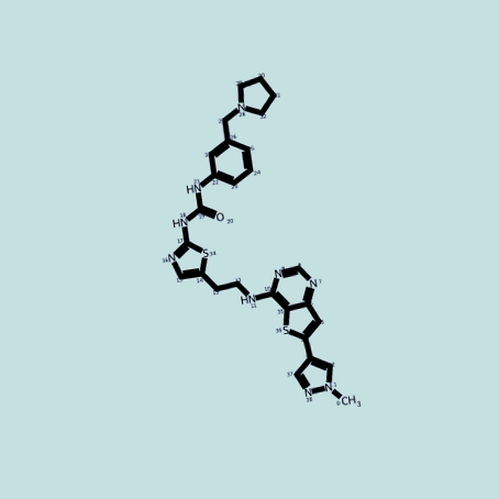 Cn1cc(-c2cc3ncnc(NCCc4cnc(NC(=O)Nc5cccc(CN6CCCC6)c5)s4)c3s2)cn1